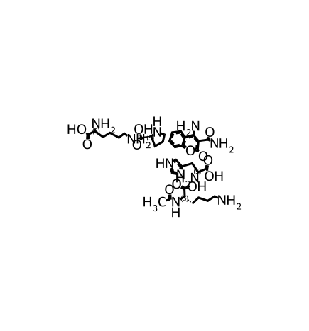 CC(=O)N[C@@H](CCCCN)C(=O)O.NC(=O)c1c(N)c2ccccc2oc1=O.NCCCC[C@H](N)C(=O)O.N[C@@H](Cc1c[nH]cn1)C(=O)O.O=C(O)[C@@H]1CCCN1